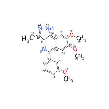 COc1cccc(-c2nc3c(C)n[nH]c3c3cc(OC)c(OC)cc23)c1